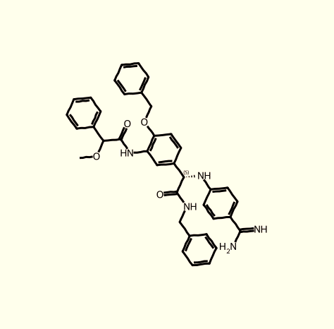 COC(C(=O)Nc1cc([C@H](Nc2ccc(C(=N)N)cc2)C(=O)NCc2ccccc2)ccc1OCc1ccccc1)c1ccccc1